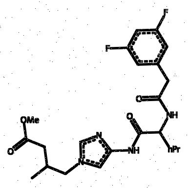 CCCC(NC(=O)Cc1cc(F)cc(F)c1)C(=O)Nc1cn(CC(C)CC(=O)OC)cn1